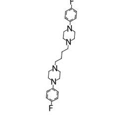 Fc1ccc(N2CCN(CCCCN3CCN(c4ccc(F)cc4)CC3)CC2)cc1